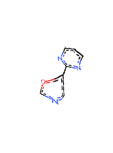 [c]1ccnc(-c2cnco2)n1